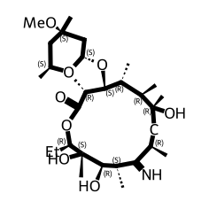 CC[C@H]1OC(=O)[C@H](C)[C@@H](O[C@H]2C[C@@](C)(OC)C[C@H](C)O2)[C@H](C)[C@@H](C)[C@](C)(O)C[C@@H](C)C(=N)[C@H](C)[C@@H](O)[C@]1(C)O